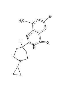 Cc1cc(Br)cc2c(=O)[nH]c(C3(F)CCN(C4CC4)CC3)nc12